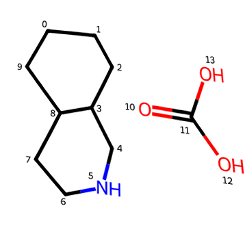 C1CCC2CNCCC2C1.O=C(O)O